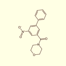 O=C(c1cc(-c2ccccc2)cc([N+](=O)[O-])c1)N1CCOCC1